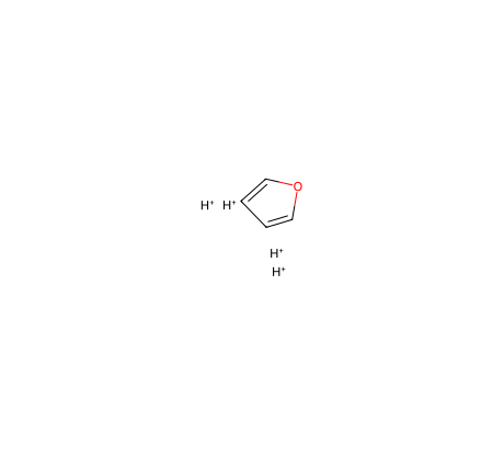 [H+].[H+].[H+].[H+].c1ccoc1